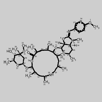 COc1ccc(N=C2O[C@H]3[C@H](OC4C(C)CC(C)CNC(C)CC(C)C(O[C@@H]5C[C@@](C)(OC)[C@@H](O)[C@H](C)O5)OC(=O)C(C)CC4C)O[C@H](C)C[C@@H]3N2C)cn1